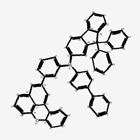 c1ccc(-c2ccc(N(c3cccc(-c4cc5c6c(cccc6c4)Oc4ccccc4-5)c3)c3ccc4c(c3)C(c3ccccc3)(c3ccccc3)c3ccccc3-4)cc2)cc1